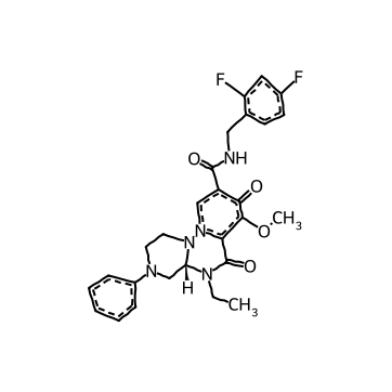 CCN1C(=O)c2c(OC)c(=O)c(C(=O)NCc3ccc(F)cc3F)cn2N2CCN(c3ccccc3)C[C@@H]12